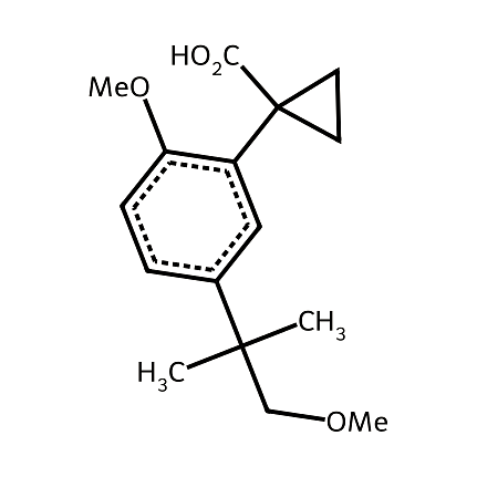 COCC(C)(C)c1ccc(OC)c(C2(C(=O)O)CC2)c1